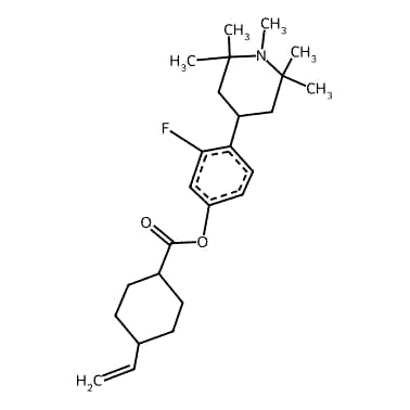 C=CC1CCC(C(=O)Oc2ccc(C3CC(C)(C)N(C)C(C)(C)C3)c(F)c2)CC1